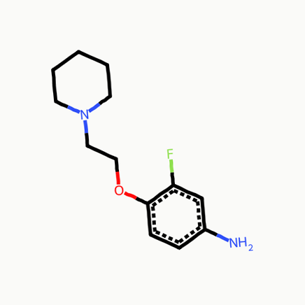 Nc1ccc(OCCN2CCCCC2)c(F)c1